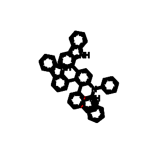 c1ccc(N(c2ccccc2)c2ccc(-c3cccc4c3[nH]c3ccccc34)c(-c3cccc4c3[nH]c3ccccc34)c2-c2cccc3c2[nH]c2ccccc23)cc1